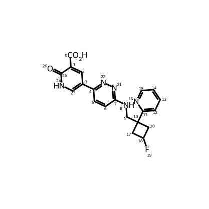 O=C(O)c1cc(-c2ccc(NCC3(c4ccccn4)CC(F)C3)nn2)c[nH]c1=O